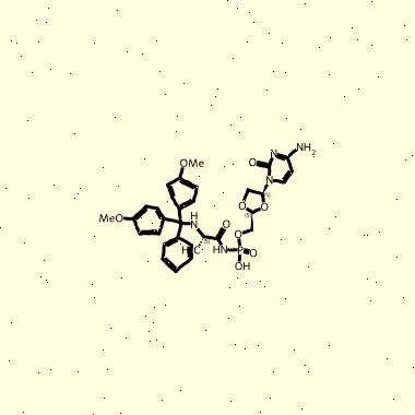 COc1ccc(C(N[C@@H](C)C(=O)NP(=O)(O)OC[C@H]2OC[C@@H](n3ccc(N)nc3=O)O2)(c2ccccc2)c2ccc(OC)cc2)cc1